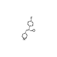 O=CC(=Cc1ccncc1)c1ccc(F)cc1